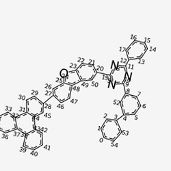 c1ccc(-c2cccc(-c3nc(-c4ccccc4)nc(-c4ccc5oc6cc(-c7ccc8c9ccccc9c9ccccc9c8c7)ccc6c5c4)n3)c2)cc1